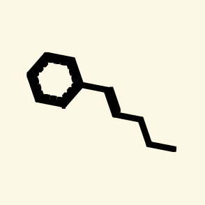 CCC/C=C/c1[c]cccc1